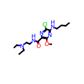 CCCCNc1nc(OC)c(C(=O)NCCN(CC)CC)nc1Cl